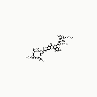 O=C(O)CC[C@@H](NC(=O)N[C@H](CCCCN(Cc1ccc(Br)cc1)C(=O)c1ccc(CNC(=O)CN2CCN(CC(=O)O)CCN(CC(=O)O)CCN(CC(=O)O)CC2)cc1)C(=O)O)C(=O)O